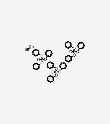 Cl.O=P(Oc1ccccc1)(Oc1ccccc1)Oc1ccccc1.O=P(Oc1ccccc1)(Oc1ccccc1)Oc1ccccc1.O=P(Oc1ccccc1)(Oc1ccccc1)Oc1ccccc1.[Cl][Rh]